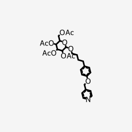 CC(=O)OCC1OC(OCCCCc2ccc(OCc3ccncc3)cc2)C(OC(C)=O)C(OC(C)=O)C1OC(C)=O